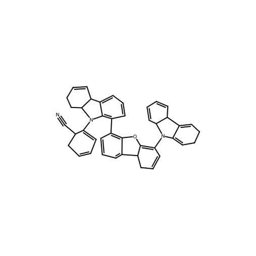 N#CC1CC=CC=C1N1c2c(-c3cccc4c3OC3=C(N5C6=CCCC=C6C6C=CC=CC65)C=CCC34)cccc2C2C=CCCC21